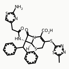 Cc1nnc(SC2=C(C(=O)O)N3C(=O)[C@](NC(=O)Cc4csc(N)n4)(C(c4ccccc4)c4ccccc4)[C@@H]3SC2)s1